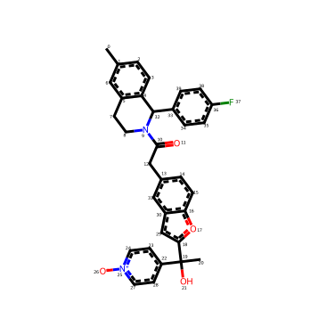 Cc1ccc2c(c1)CCN(C(=O)Cc1ccc3oc(C(C)(O)c4cc[n+]([O-])cc4)cc3c1)C2c1ccc(F)cc1